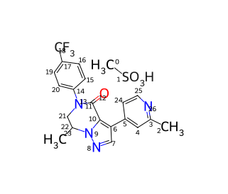 CS(=O)(=O)O.Cc1cc(-c2cnn3c2C(=O)N(c2ccc(C(F)(F)F)cc2)CC3C)ccn1